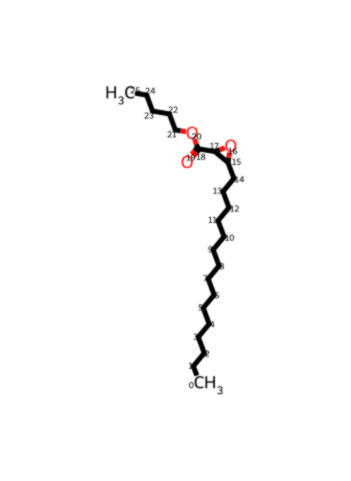 CCCCCCCCCCCCCCCC1OC1C(=O)OCCCCC